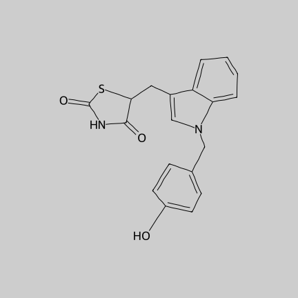 O=C1NC(=O)C(Cc2cn(Cc3ccc(O)cc3)c3ccccc23)S1